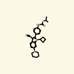 CC(C)OC(=O)Nc1ccc(-c2c(C#N)c3ccc(N4CCCCC4)cc3n2C2CCC2)cc1